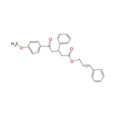 COc1ccc(C(=O)CC(CC(=O)OC/C=C/c2ccccc2)c2ccccc2)cc1